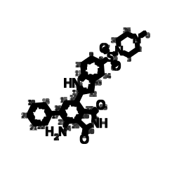 CN1CCN(S(=O)(=O)c2ccc3[nH]c(-c4cc(-c5ccccc5)c(N)c5c4C(=O)NC5=O)cc3c2)CC1